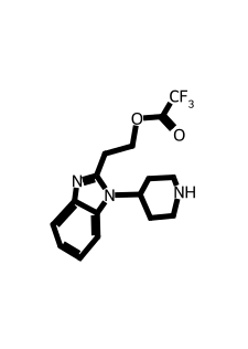 O=C(OCCc1nc2ccccc2n1C1CCNCC1)C(F)(F)F